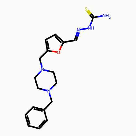 NC(=S)N/N=C/c1ccc(CN2CCN(Cc3ccccc3)CC2)o1